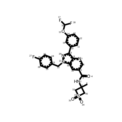 CC1(NC(=O)c2cnc3c(-c4cccc(OC(F)F)c4)nn(Cc4ccc(F)cc4)c3c2)CS(=O)(=O)C1